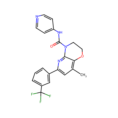 Cc1cc(-c2cccc(C(F)(F)F)c2)nc2c1OCCN2C(=O)Nc1ccncc1